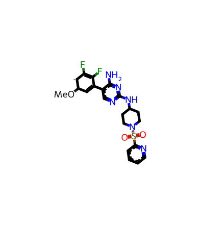 COC1[CH]C(F)=C(F)C(c2cnc(NC3CCN(S(=O)(=O)c4ccccn4)CC3)nc2N)=C1